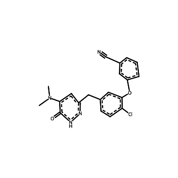 CN(C)c1cc(Cc2ccc(Cl)c(Oc3cccc(C#N)c3)c2)n[nH]c1=O